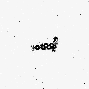 C=C(C)[C@@H]1CC[C@]2(NCc3ccco3)CC[C@]3(C)[C@H](CC[C@@H]4[C@@]5(C)CC=C(c6ccc(C(=O)OC)cc6)C(C)(C)[C@@H]5CC[C@]43C)[C@@H]12